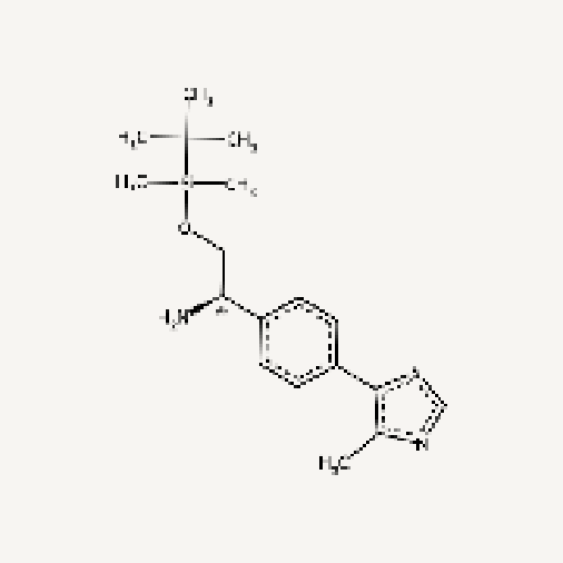 Cc1ncsc1-c1ccc([C@@H](N)CO[Si](C)(C)C(C)(C)C)cc1